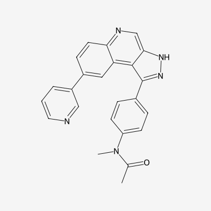 CC(=O)N(C)c1ccc(-c2n[nH]c3cnc4ccc(-c5cccnc5)cc4c23)cc1